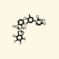 Cc1cc(-n2ncc(=O)[nH]c2=O)cc(Cl)c1Oc1ccc(O)c(NS(=O)(=O)Cc2c(F)c(F)c(F)c(F)c2F)c1